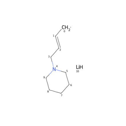 [CH2]C=CCN1CCCCC1.[LiH]